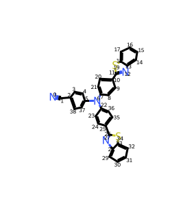 N#Cc1ccc(N(c2ccc(-c3nc4ccccc4s3)cc2)c2ccc(-c3nc4ccccc4s3)cc2)cc1